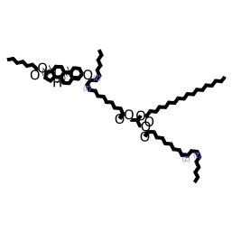 CCCCC/C=C\C/C=C\CCCCCCCC(=O)OCC(COC(=O)CCCCCCC/C=C\C(/C=C\CCCCC)OC1C=C2CC[C@@H]3C(CC[C@@]4(C)C3CC[C@@H]4OC(=O)CCCCCC)[C@@]2(C)CC1)OC(=O)CCCCCCCCCCCCCCCCC